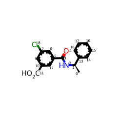 C[C@@H](NC(=O)c1cc(Cl)cc(C(=O)O)c1)c1ccccc1